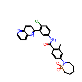 Cc1cc(N2CCCCCS2(=O)=O)ccc1C(=O)Nc1ccc(Cl)c(-c2ccc3ncccc3n2)c1